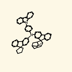 c1ccc2c(c1)-c1cc(N(c3ccc(-n4c5ccccc5c5ccccc54)cc3)c3ccc4c(c3)C3(c5ccccc5-4)C4CCC5CC(C4)CC3C5)ccc1C21CCCC1